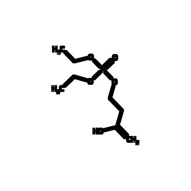 C=C(O)CCOP(=O)(OCC)OCC